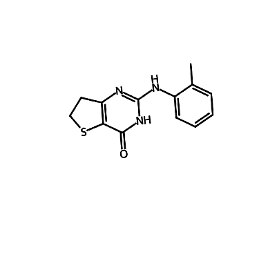 Cc1ccccc1Nc1nc2c(c(=O)[nH]1)SCC2